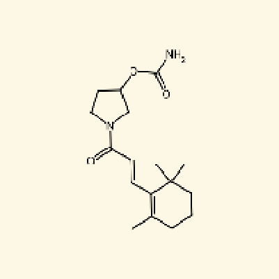 CC1=C(C=CC(=O)N2CCC(OC(N)=O)C2)C(C)(C)CCC1